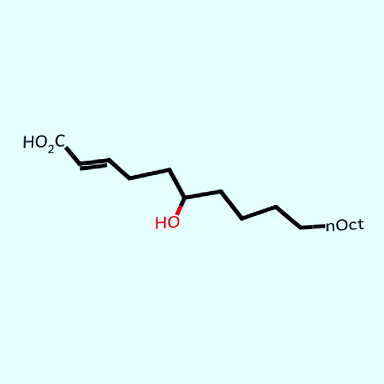 CCCCCCCCCCCCC(O)CCC=CC(=O)O